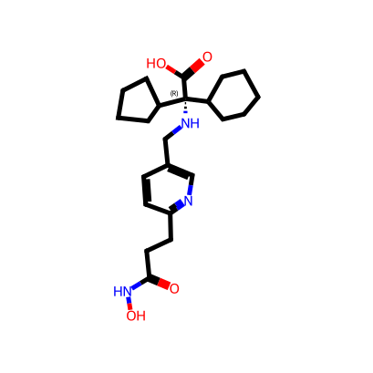 O=C(CCc1ccc(CN[C@](C(=O)O)(C2CCCCC2)C2CCCC2)cn1)NO